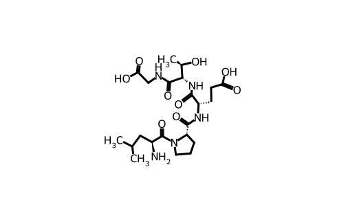 CC(C)C[C@H](N)C(=O)N1CCC[C@H]1C(=O)N[C@@H](CCC(=O)O)C(=O)N[C@H](C(=O)NCC(=O)O)[C@@H](C)O